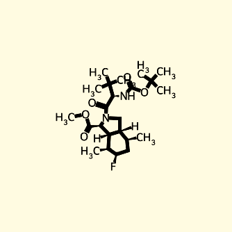 COC(=O)[C@@H]1[C@H]2[C@H](C)[C@H](F)C[C@H](C)[C@H]2CN1C(=O)[C@@H](NC(=O)OC(C)(C)C)C(C)(C)C